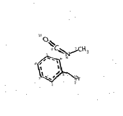 CC(C)c1ccccc1.CN=C=O